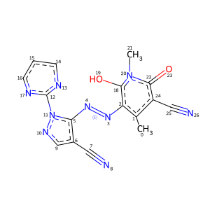 Cc1c(/N=N/c2c(C#N)cnn2-c2ncccn2)c(O)n(C)c(=O)c1C#N